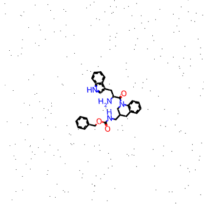 NC(Cc1c[nH]c2ccccc12)C(=O)N1CC(CNC(=O)OCc2ccccc2)Cc2ccccc21